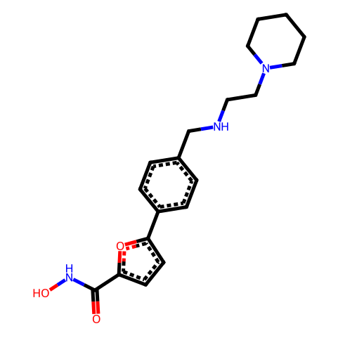 O=C(NO)c1ccc(-c2ccc(CNCCN3CCCCC3)cc2)o1